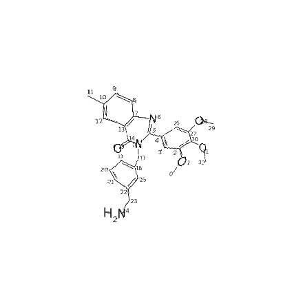 COc1cc(-c2nc3ccc(C)cc3c(=O)n2Cc2cccc(CN)c2)cc(OC)c1OC